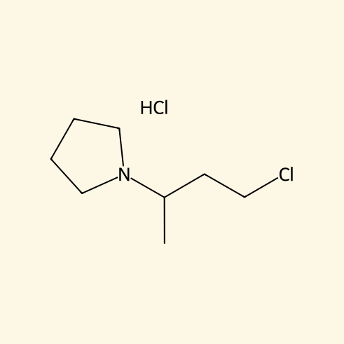 CC(CCCl)N1CCCC1.Cl